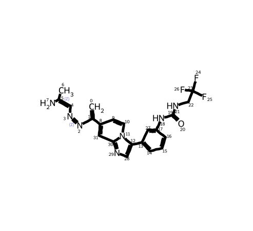 C=C(/N=N\C=C(\C)N)c1ccn2c(-c3cccc(NC(=O)NCC(F)(F)F)c3)cnc2c1